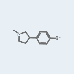 CN1CCC(c2ccc(Br)cc2)C1